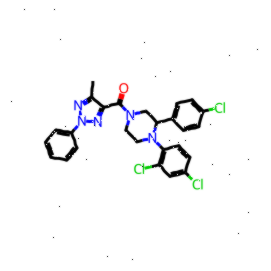 Cc1nn(-c2ccccc2)nc1C(=O)N1CCN(c2ccc(Cl)cc2Cl)C(c2ccc(Cl)cc2)C1